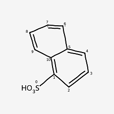 O=S(=O)(O)c1cccc2[c][c]ccc12